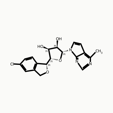 Cc1ncnc2c1ccn2[C@@H]1O[C@H]([C@@H]2OCc3cc(Cl)ccc32)[C@@H](O)[C@H]1O